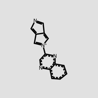 C1=NC=C2C=[N+](c3cnc4ccccc4n3)C=C12